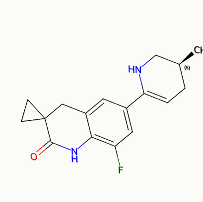 C[C@H]1CC=C(c2cc(F)c3c(c2)CC2(CC2)C(=O)N3)NC1